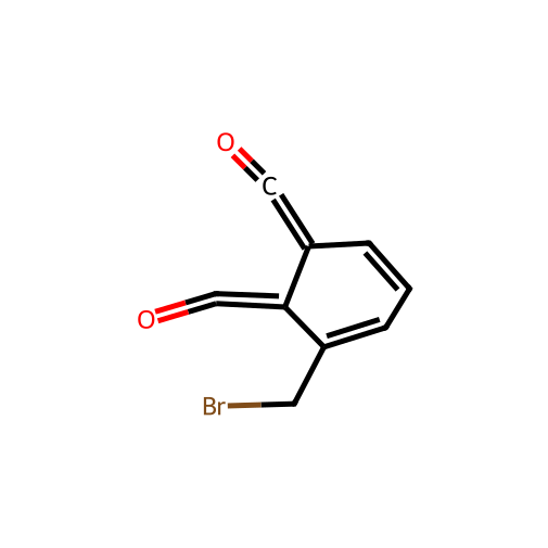 O=C=c1cccc(CBr)c1=C=O